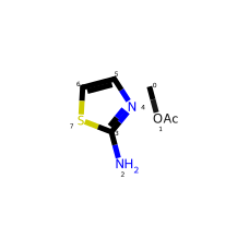 COC(C)=O.Nc1nccs1